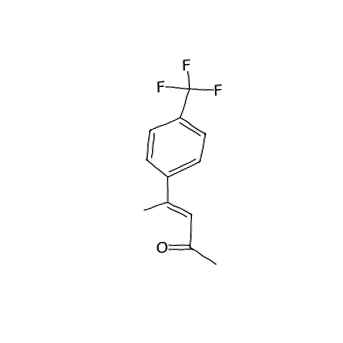 CC(=O)C=C(C)c1ccc(C(F)(F)F)cc1